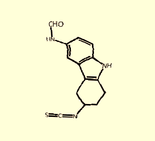 O=CNc1ccc2[nH]c3c(c2c1)CC(N=C=S)CC3